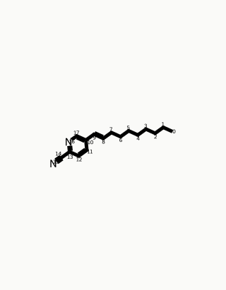 CCCCCCCC/C=C/c1ccc(C#N)nc1